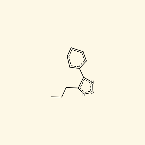 CCCc1nonc1-c1ccccc1